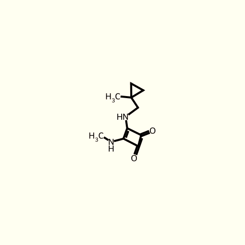 CNc1c(NCC2(C)CC2)c(=O)c1=O